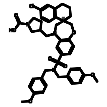 COc1ccc(CN(Cc2ccc(OC)cc2)S(=O)(=O)c2ccc3c(c2)N(CC2CCN(C(=O)O)C2)C[C@@]2(CCCc4cc(Cl)ccc42)CO3)cc1